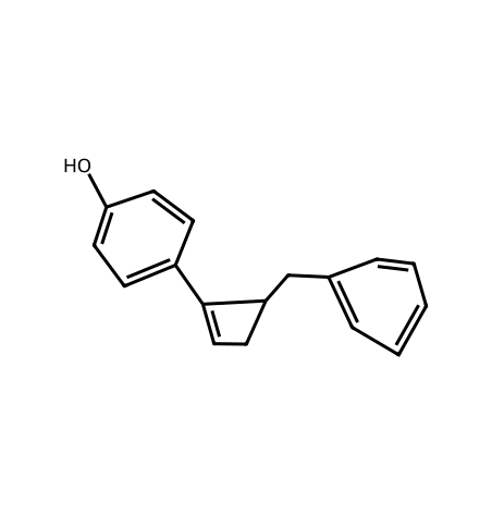 Oc1ccc(C2=CCC2Cc2ccccc2)cc1